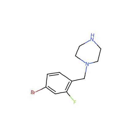 Fc1cc(Br)ccc1CN1CCNCC1